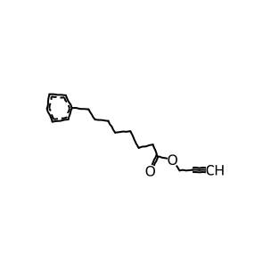 C#CCOC(=O)CCCCCCCc1ccccc1